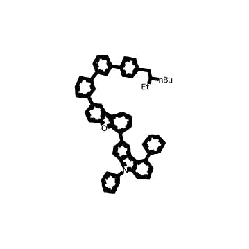 CCCCC(CC)Cc1ccc(-c2cccc(-c3cccc(-c4ccc5oc6c(-c7ccc8c(c7)c7c(-c9ccccc9)cccc7n8-c7ccccc7)cccc6c5c4)c3)c2)cc1